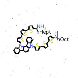 CCCCCCCCNc1ccc(-c2ccc(-c3ccc(-n4c5ccccc5c5c4ccc4c6ccccc6n(-c6ccc(-c7ccc(-c8ccc(C(N)CCCCCCC)s8)s7)s6)c45)s3)s2)s1